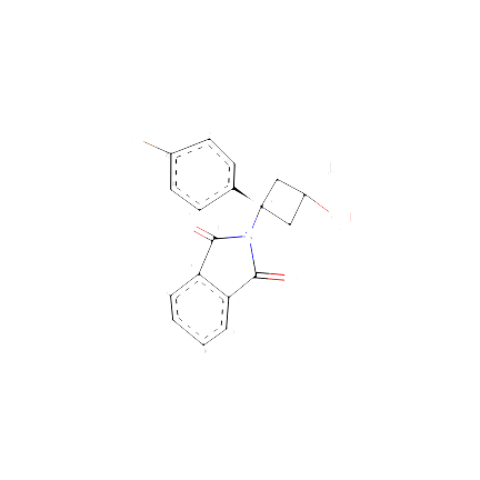 CC[C@]1(O)C[C@](c2ccc(Br)cc2)(N2C(=O)c3ccccc3C2=O)C1